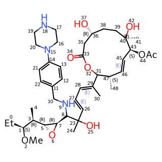 CC[C@H](OC)[C@@H](C)[C@H]1O[C@@H]1C(NCc1ccc(N2CCNCC2)cc1)C(C)(O)/C=C/C=C(\C)C1OC(=O)C[C@H](O)CC[C@@](C)(O)[C@@H](OC(C)=O)/C=C/[C@@H]1C